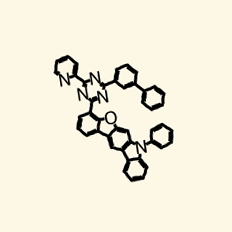 c1ccc(-c2cccc(-c3nc(-c4ccccn4)nc(-c4cccc5c4oc4cc6c(cc45)c4ccccc4n6-c4ccccc4)n3)c2)cc1